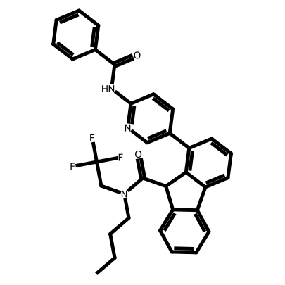 CCCCN(CC(F)(F)F)C(=O)C1c2ccccc2-c2cccc(-c3ccc(NC(=O)c4ccccc4)nc3)c21